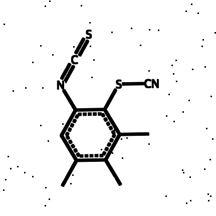 Cc1cc(N=C=S)c(SC#N)c(C)c1C